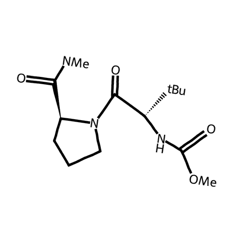 CNC(=O)[C@@H]1CCCN1C(=O)[C@@H](NC(=O)OC)C(C)(C)C